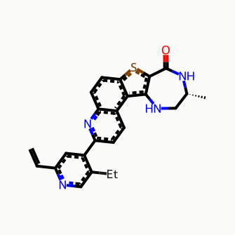 C=Cc1cc(-c2ccc3c(ccc4sc5c(c43)NC[C@@H](C)NC5=O)n2)c(CC)cn1